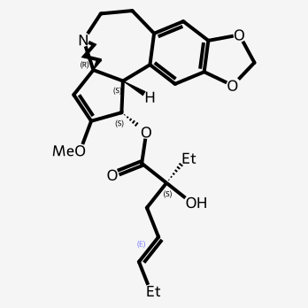 CC/C=C/C[C@@](O)(CC)C(=O)O[C@@H]1C(OC)=C[C@]23CCCN2CCc2cc4c(cc2[C@H]13)OCO4